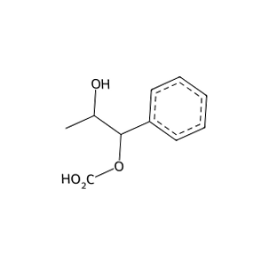 CC(O)C(OC(=O)O)c1ccccc1